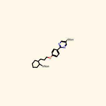 CCCCCCCCCc1cnc(-c2ccc(OCCCC3CCCCC3CCCCCCCCC)cc2)nc1